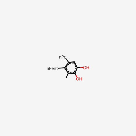 CCCCCc1c(CCC)cc(O)c(O)c1C